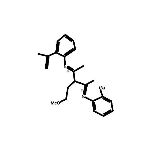 C=C(C)c1ccccc1/N=C(\C)C(CCOC)/C(C)=N/c1ccccc1C(C)(C)C